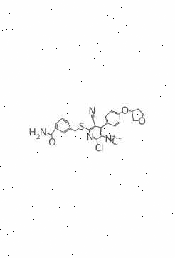 [C-]#[N+]c1c(Cl)nc(SCc2cccc(C(N)=O)c2)c(C#N)c1-c1ccc(OC2CCOC2)cc1